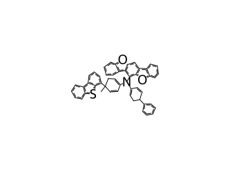 CC1(c2cccc3c2sc2ccccc23)C=CC(N(C2=CCC(c3ccccc3)C=C2)c2c3oc4ccccc4c3cc3oc4ccccc4c23)=CC1